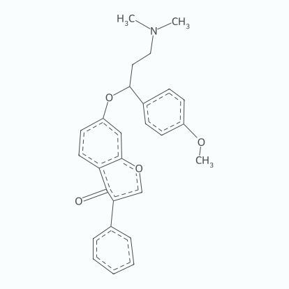 COc1ccc(C(CCN(C)C)Oc2ccc3c(=O)c(-c4ccccc4)coc3c2)cc1